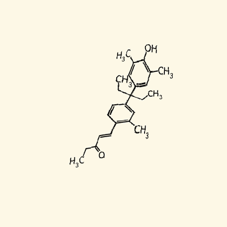 CCC(=O)/C=C/c1ccc(C(CC)(CC)c2cc(C)c(O)c(C)c2)cc1C